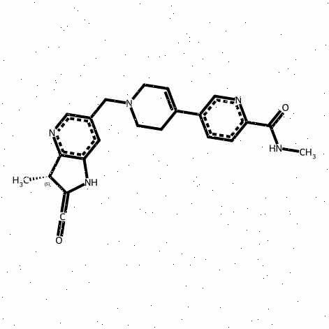 CNC(=O)c1ccc(C2=CCN(Cc3cnc4c(c3)NC(=C=O)[C@@H]4C)CC2)cn1